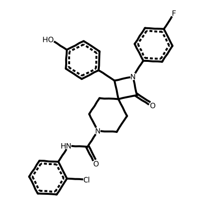 O=C(Nc1ccccc1Cl)N1CCC2(CC1)C(=O)N(c1ccc(F)cc1)C2c1ccc(O)cc1